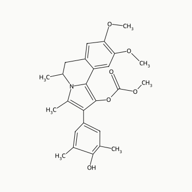 COC(=O)Oc1c(-c2cc(C)c(O)c(C)c2)c(C)n2c1-c1cc(OC)c(OC)cc1CC2C